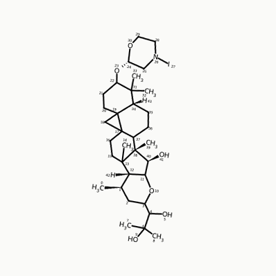 C[C@@H]1CC(C(O)C(C)(C)O)OC2[C@H]1C1(C)CCC34CC35CCC(O[C@H]3CN(I)CCO3)C(C)(C)[C@@H]5CCC4[C@]1(C)[C@H]2O